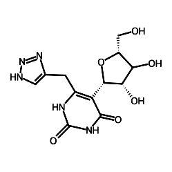 O=c1[nH]c(Cc2c[nH]nn2)c([C@@H]2O[C@H](CO)C(O)[C@@H]2O)c(=O)[nH]1